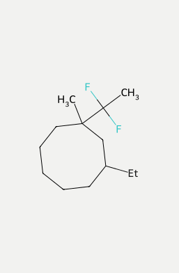 CCC1CCCCCC(C)(C(C)(F)F)C1